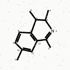 CC1=NC(C)C(C)c2ccc(C)cc21